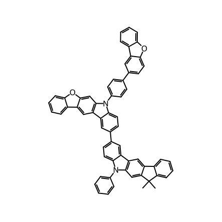 CC1(C)c2ccccc2-c2cc3c4cc(-c5ccc6c(c5)c5cc7c(cc5n6-c5ccc(-c6ccc8oc9ccccc9c8c6)cc5)oc5ccccc57)ccc4n(-c4ccccc4)c3cc21